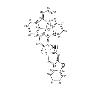 Clc1cc2c(cc1Nc1cccc3c1-c1ccccc1C31c3ccccc3-c3ccccc31)oc1ccccc12